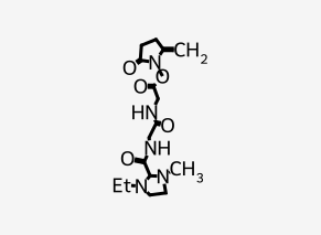 C=C1CCC(=O)N1OC(=O)CNC(=O)CNC(=O)C1N(C)CCN1CC